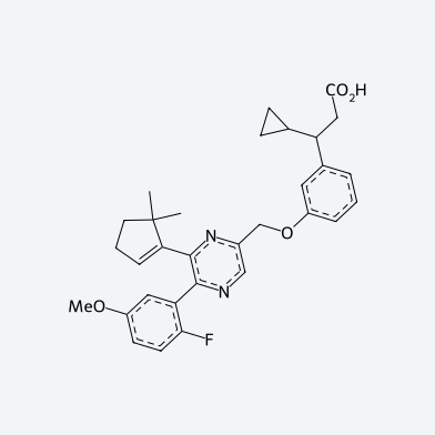 COc1ccc(F)c(-c2ncc(COc3cccc(C(CC(=O)O)C4CC4)c3)nc2C2=CCCC2(C)C)c1